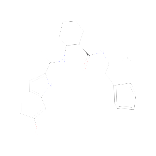 N#C[C@H](Cc1ccccc1)NC(=O)[C@@H]1CCCCC1NC(=O)c1cc2ccc(O)cc2[nH]1